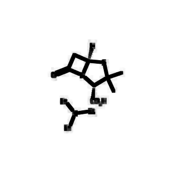 CC1(C)S[C@@H]2CC(=O)N2[C@H]1C(=O)O.CCN(CC)CC